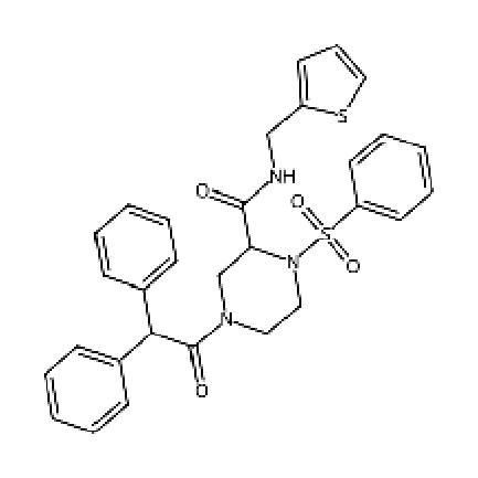 O=C(NCc1cccs1)C1CN(C(=O)C(c2ccccc2)c2ccccc2)CCN1S(=O)(=O)c1ccccc1